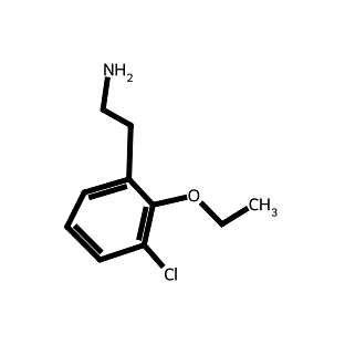 CCOc1c(Cl)cccc1CCN